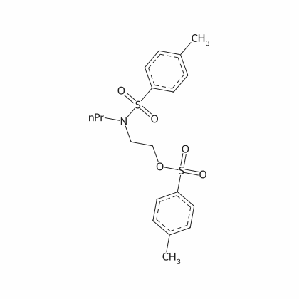 CCCN(CCOS(=O)(=O)c1ccc(C)cc1)S(=O)(=O)c1ccc(C)cc1